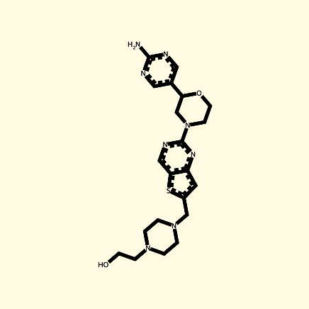 Nc1ncc(C2CN(c3ncc4sc(CN5CCN(CCO)CC5)cc4n3)CCO2)cn1